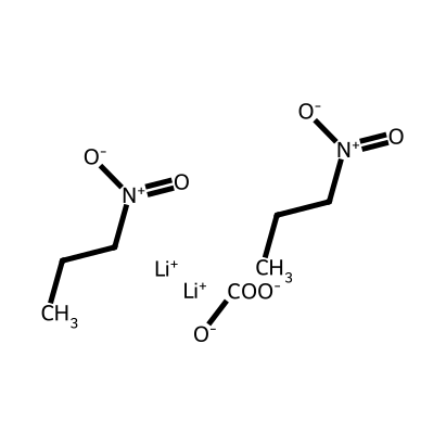 CCC[N+](=O)[O-].CCC[N+](=O)[O-].O=C([O-])[O-].[Li+].[Li+]